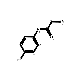 CCc1ccc(NC(=O)CC(C)(C)C)cc1